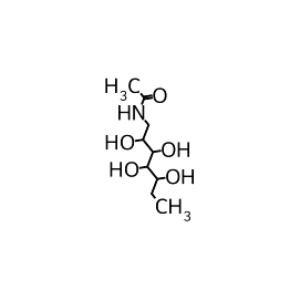 CCC(O)C(O)C(O)C(O)CNC(C)=O